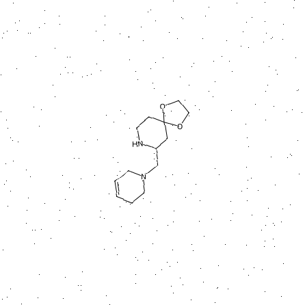 C1=CCN(CC2CC3(CCN2)OCCO3)CC1